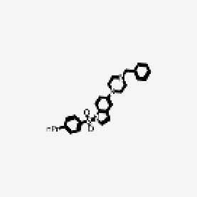 CCCc1ccc(S(=O)(=O)n2ccc3cc(N4CCN(Cc5ccccc5)CC4)ccc32)cc1